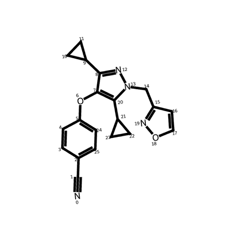 N#Cc1ccc(Oc2c(C3CC3)nn(Cc3ccon3)c2C2CC2)cc1